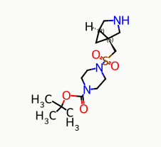 CC(C)(C)OC(=O)N1CCN(S(=O)(=O)C[C@]23CNC[C@@H]2C3)CC1